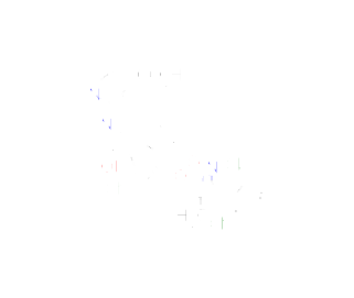 C=C(COc1ccc(C2(O)CCN(c3cc(C(=O)O)ccn3)C2)c(Cl)c1)/C(=N\OCC1CC1)c1c(Cl)cccc1Cl